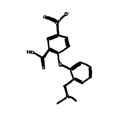 CN(C)Cc1ccccc1Oc1ccc([N+](=O)[O-])cc1C(=O)O